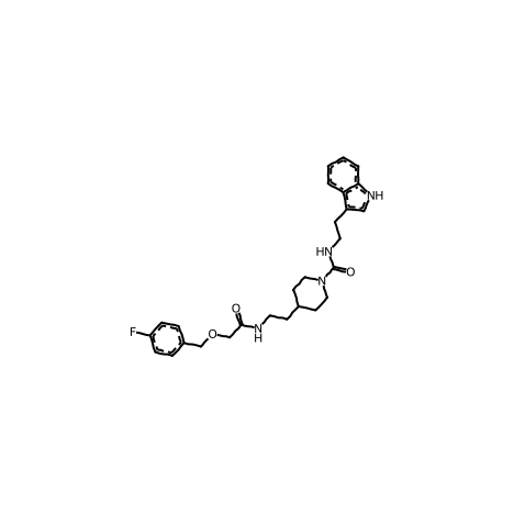 O=C(COCc1ccc(F)cc1)NCCC1CCN(C(=O)NCCc2c[nH]c3ccccc23)CC1